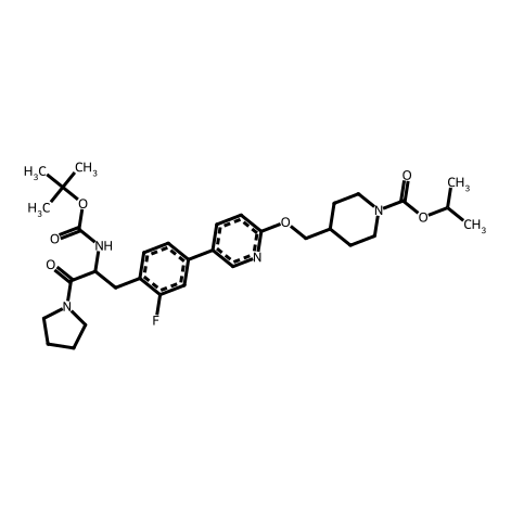 CC(C)OC(=O)N1CCC(COc2ccc(-c3ccc(CC(NC(=O)OC(C)(C)C)C(=O)N4CCCC4)c(F)c3)cn2)CC1